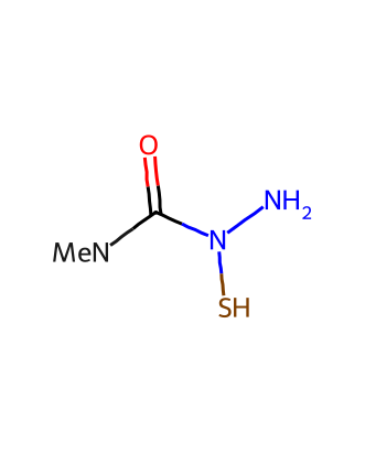 CNC(=O)N(N)S